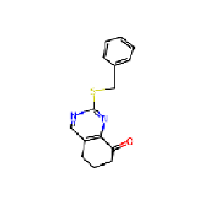 O=C1CCCc2cnc(SCc3ccccc3)nc21